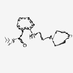 NC(=O)c1ccccc1NCCN1CCOCC1